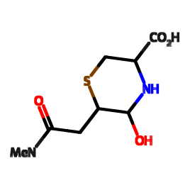 CNC(=O)CC1SCC(C(=O)O)NC1O